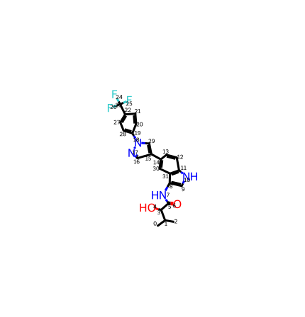 CC(C)C(O)C(=O)Nc1c[nH]c2ccc(-c3cnn(-c4ccc(C(F)(F)F)cc4)c3)cc12